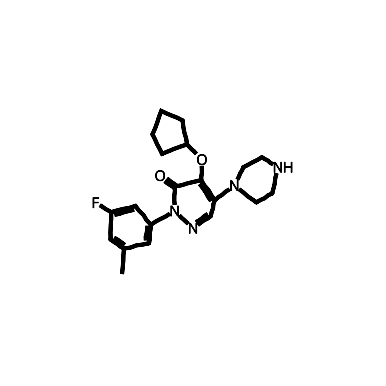 Cc1cc(F)cc(-n2ncc(N3CCNCC3)c(OC3CCCC3)c2=O)c1